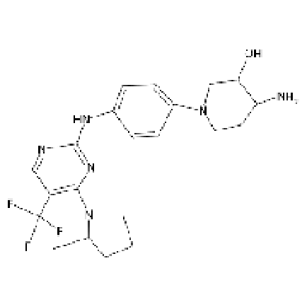 CC1CCCN1c1nc(Nc2ccc(N3CCC(N)C(O)C3)cc2)ncc1C(F)(F)F